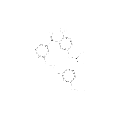 COc1cccc(SONc2cc(C(=N)c3cc(OC(C)C)ccc3N)ccn2)c1